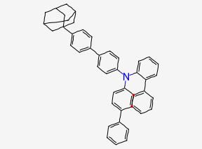 c1ccc(-c2ccc(N(c3ccc(-c4ccc(C56CC7CC(CC(C7)C5)C6)cc4)cc3)c3ccccc3-c3ccccc3)cc2)cc1